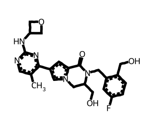 Cc1cnc(NC2COC2)nc1-c1cc2n(c1)CC(CO)N(Cc1cc(F)ccc1CO)C2=O